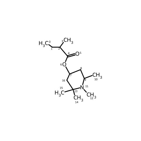 CCC(C)C(=O)OC1CC(C)N(C)C(C)(C)C1